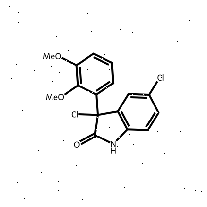 COc1cccc(C2(Cl)C(=O)Nc3ccc(Cl)cc32)c1OC